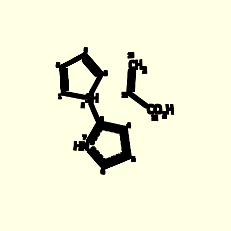 C1=C[SH](c2ccc[nH]2)C=C1.C=CC(=O)O